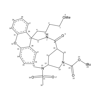 COCCCCC1(CNC(=O)C2CC(N(C)S(C)(=O)=O)CN(C(=O)OC(C)(C)C)C2)c2ccccc2Oc2ccccc21